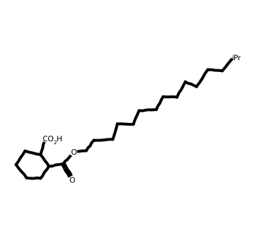 CC(C)CCCCCCCCCCCCCOC(=O)C1CCCCC1C(=O)O